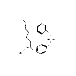 CCCCCCC(C)ON=O.O=P(O)(Oc1ccccc1)Oc1ccccc1